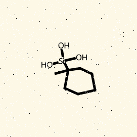 CC1([Si](O)(O)O)CCCCC1